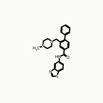 CN1CCN(Cc2cc(C(=O)Nc3ccc4scnc4c3)ccc2-c2ccccc2)CC1